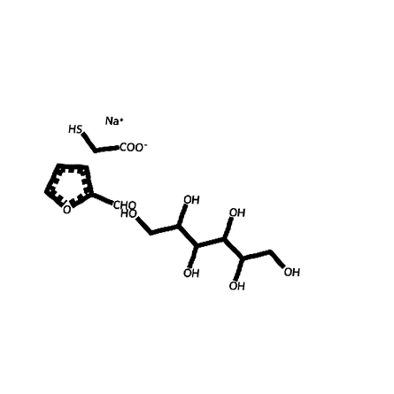 O=C([O-])CS.O=Cc1ccco1.OCC(O)C(O)C(O)C(O)CO.[Na+]